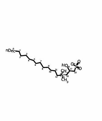 CCCCCCCCCCCCCCCCCCCCCC[N+](C)(C)CC(O)CS(=O)(=O)[O-]